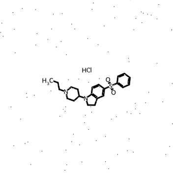 CCCN1CCC(N2CCc3cc(S(=O)(=O)c4ccccc4)ccc32)CC1.Cl